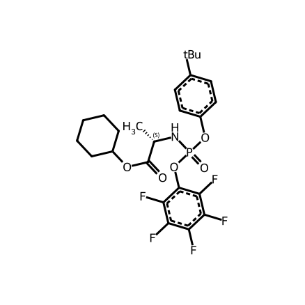 C[C@H](NP(=O)(Oc1ccc(C(C)(C)C)cc1)Oc1c(F)c(F)c(F)c(F)c1F)C(=O)OC1CCCCC1